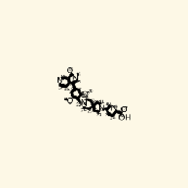 COc1cc(-c2cn(C)c(=O)c3cnccc23)cc(OC)c1CN1CCC2(CC1)CCN(c1ccc(C(=O)O)nc1)CC2